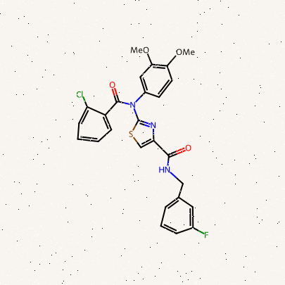 COc1ccc(N(C(=O)c2ccccc2Cl)c2nc(C(=O)NCc3cccc(F)c3)cs2)cc1OC